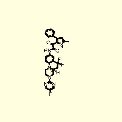 Cc1cc(-c2ccccc2)c(C(=O)C(=O)Nc2ccc3c(c2)C(F)(F)C[C@H]2CN(c4ncc(F)cn4)CCN32)n1C